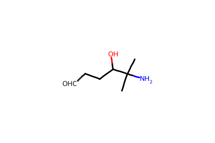 CC(C)(N)C(O)CCC=O